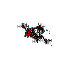 Cc1nc([C@H](C)NC(=O)c2sc(CCCNC(=N)N)nc2[C@H](C)NC(=O)c2sc(C)nc2[C@H](CCCNC(=N)N)NC(=O)c2sc(C)nc2[C@H](C)NC(=O)c2sc(CCCNC(=N)N)nc2[C@H](C)NC(=O)c2sc(C)nc2[C@@H](N)CCCNC(=N)N)c(C(N)=O)s1